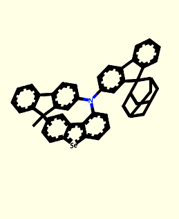 CC1(C)c2ccccc2-c2ccc(N(c3ccc4c(c3)C3(c5ccccc5-4)C4CC5CC(C4)CC3C5)c3cccc4[se]c5ccccc5c34)cc21